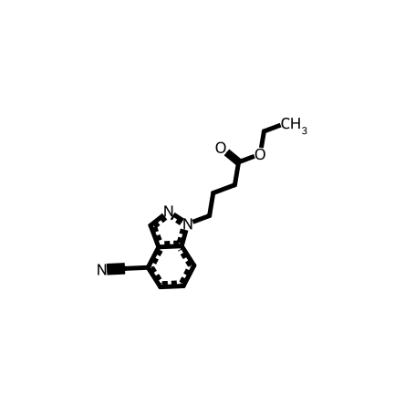 CCOC(=O)CCCn1ncc2c(C#N)cccc21